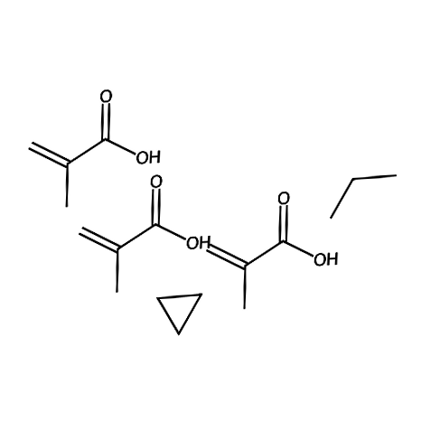 C1CC1.C=C(C)C(=O)O.C=C(C)C(=O)O.C=C(C)C(=O)O.CCC